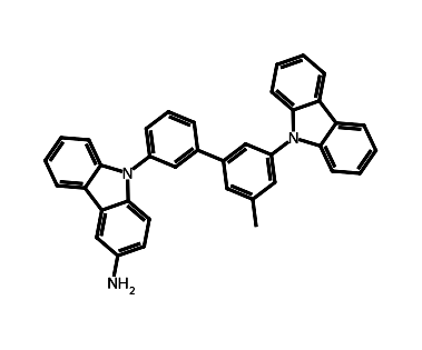 Cc1cc(-c2cccc(-n3c4ccccc4c4cc(N)ccc43)c2)cc(-n2c3ccccc3c3ccccc32)c1